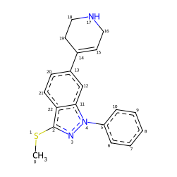 CSc1nn(-c2ccccc2)c2cc(C3=CCNCC3)ccc12